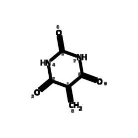 C=C1C(=O)NC(=O)NC1=O